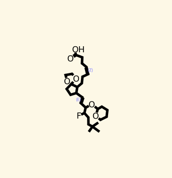 CC(C)(C)CCC(F)C(/C=C/C1CCC2(OCCO2)C1CC/C=C\CCC(=O)O)OC1CCCCO1